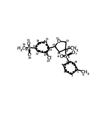 Cc1cccc(S(=O)(=O)C2(C)COC(c3ncc(S(C)(=O)=O)cc3Cl)C2)c1